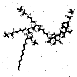 CCCCCCCCCCCCC(NC(=O)[C@H](CCCCNC(=O)OC(C)(C)C)NC(=O)[C@H](CCCCNC(=O)OC(C)(C)C)NC(=O)CCC(=O)O[C@]1(CC)C(=O)OCc2c1cc1n(c2=O)Cc2c-1nc1ccc(OC(=O)OC(C)(C)C)cc1c2CC)C(=O)OC(C)(C)C